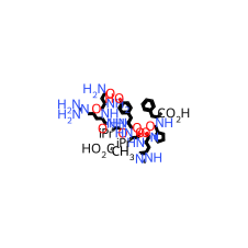 CC(=O)O.CC(C)C(NC(=O)C(CCCN=C(N)N)NC(=O)C(N)CC(N)=O)C(=O)NC(Cc1ccc(O)cc1)C(=O)NC(C(=O)NC(Cc1cnc[nH]1)C(=O)N1CCCC1C(=O)NC(Cc1ccccc1)C(=O)O)C(C)C